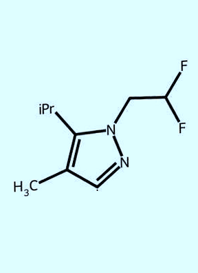 Cc1[c]nn(CC(F)F)c1C(C)C